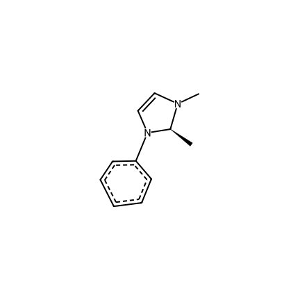 C[C@@H]1N(C)C=CN1c1ccccc1